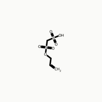 C=CCOS(=O)(=O)CS(=O)(=O)O